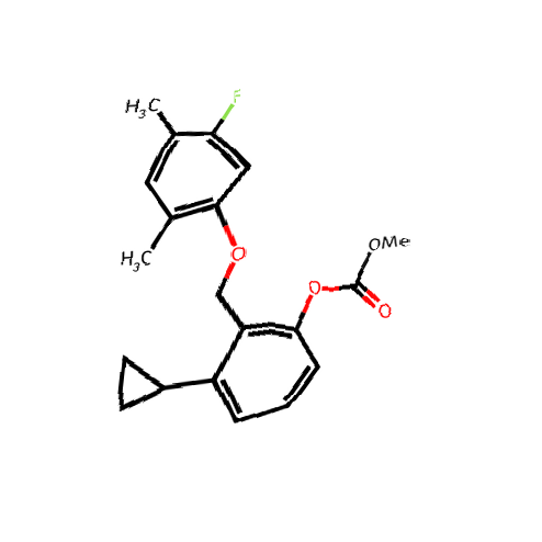 COC(=O)Oc1cccc(C2CC2)c1COc1cc(F)c(C)cc1C